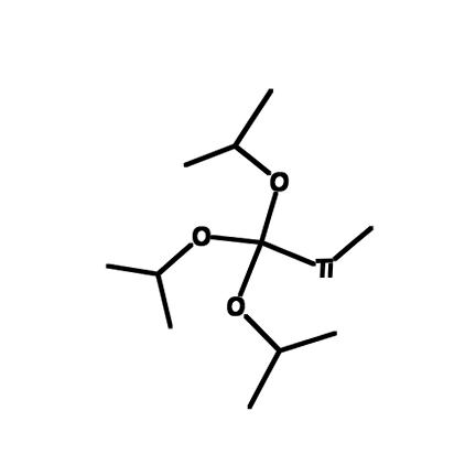 [CH3][Ti][C](OC(C)C)(OC(C)C)OC(C)C